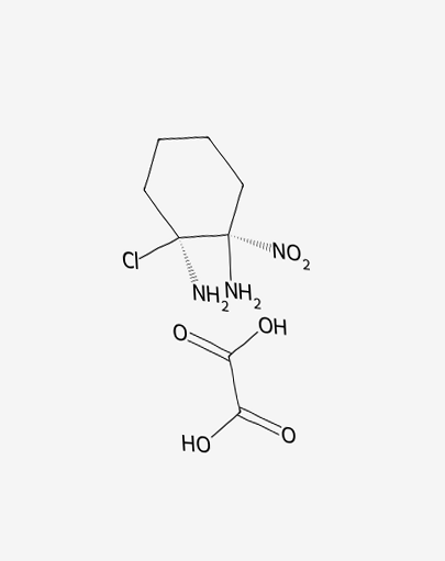 N[C@]1(Cl)CCCC[C@]1(N)[N+](=O)[O-].O=C(O)C(=O)O